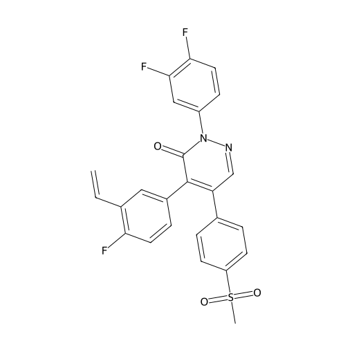 C=Cc1cc(-c2c(-c3ccc(S(C)(=O)=O)cc3)cnn(-c3ccc(F)c(F)c3)c2=O)ccc1F